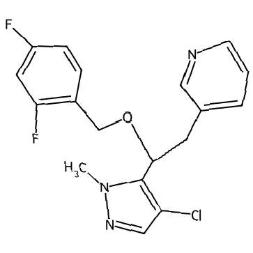 Cn1ncc(Cl)c1C(Cc1cccnc1)OCc1ccc(F)cc1F